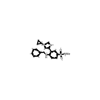 CNS(=O)(=O)c1ccc(NCc2ccccc2)c(-c2cn(C3CC3)cn2)c1